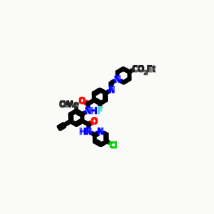 C#Cc1cc(OC)c(NC(=O)c2ccc(N=CN3CCC(C(=O)OCC)CC3)cc2F)c(C(=O)Nc2ccc(Cl)cn2)c1